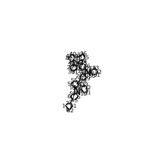 c1ccc(-c2ccc(-n3c4ccccc4c4c(-c5ccc6c(c5)c5cc(C7(c8ccccc8)c8ccccc8-c8ccccc87)ccc5n6-c5ccccc5)cccc43)cc2)cc1